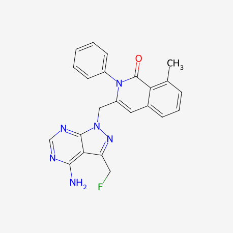 Cc1cccc2cc(Cn3nc(CF)c4c(N)ncnc43)n(-c3ccccc3)c(=O)c12